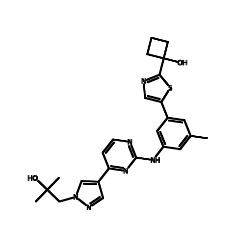 Cc1cc(Nc2nccc(-c3cnn(CC(C)(C)O)c3)n2)cc(-c2cnc(C3(O)CCC3)s2)c1